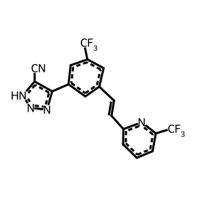 N#Cc1[nH]nnc1-c1cc(C=Cc2cccc(C(F)(F)F)n2)cc(C(F)(F)F)c1